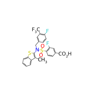 Cc1c(N(Cc2ccc(F)c(C(F)(F)F)c2)S(=O)(=O)c2ccc(C(=O)O)cc2F)sc2ccccc12